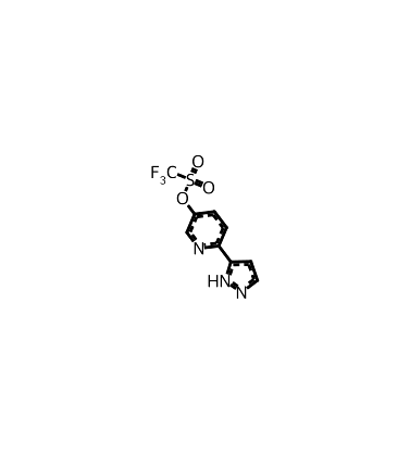 O=S(=O)(Oc1ccc(-c2ccn[nH]2)nc1)C(F)(F)F